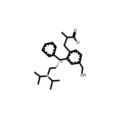 CC(Cc1ccc(CO)cc1[C@H](CCN(C(C)C)C(C)C)c1ccccc1)C(=O)Cl